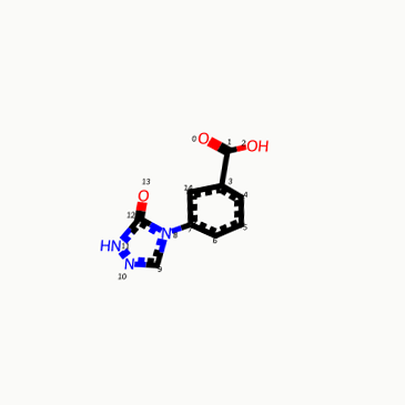 O=C(O)c1cccc(-n2cn[nH]c2=O)c1